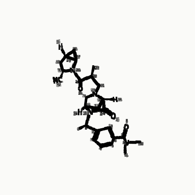 C[C@H](c1cccc(C(=O)N(C)C)c1)N1C(=O)[C@@H]2C[C@H]1CN2C[C@H](C)C(=O)N1C2C[C@H]2C[C@H]1C#N